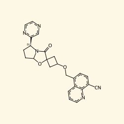 N#Cc1ccc(COC2CC3(C2)OC2CC[C@@H](c4cnccn4)N2C3=O)c2cccnc12